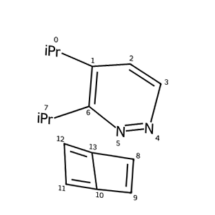 CC(C)c1ccnnc1C(C)C.c1cc2ccc1-2